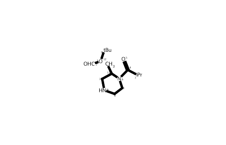 CC(C)(C)OC=O.CC(C)C(=O)N1CCNCC1C